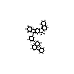 CC1(C)c2cc3c(cc2-c2c1ccc1ccccc21)c1ccccc1n3-c1cccc(-c2ccc3c4c(cccc24)-c2ccccc2-3)c1